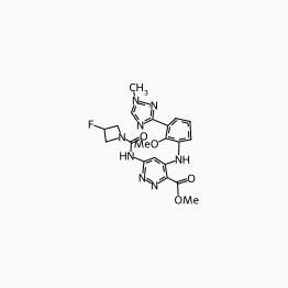 COC(=O)c1nnc(NC(=O)N2CC(F)C2)cc1Nc1cccc(-c2ncn(C)n2)c1OC